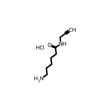 C#CCNC(=O)CCCCCN.Cl